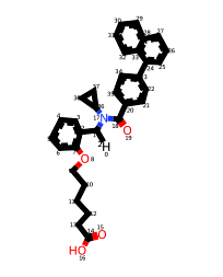 [2H]C(c1ccccc1OCCCCCC(=O)O)N(C(=O)c1ccc(-c2cccc3ccccc23)cc1)C1CC1